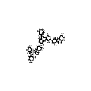 c1ccc(-n2c3ccc(-c4ccc5oc6ccccc6c5c4)cc3c3cc(-c4ccc5oc6c(c5c4)c4ccccc4n6-c4ccccc4)ccc32)cc1